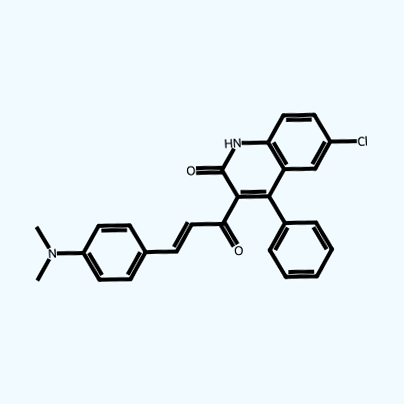 CN(C)c1ccc(C=CC(=O)c2c(-c3ccccc3)c3cc(Cl)ccc3[nH]c2=O)cc1